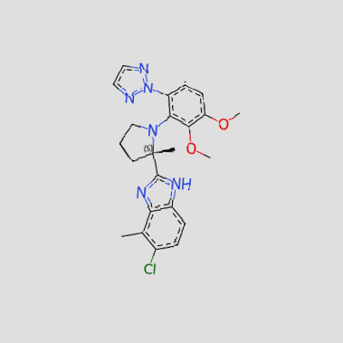 COc1c[c]c(-n2nccn2)c(N2CCC[C@@]2(C)c2nc3c(C)c(Cl)ccc3[nH]2)c1OC